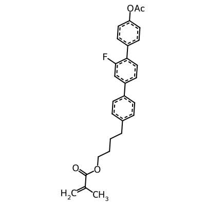 C=C(C)C(=O)OCCCCc1ccc(-c2ccc(-c3ccc(OC(C)=O)cc3)c(F)c2)cc1